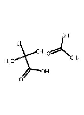 CC(=O)O.CC(C)(Cl)C(=O)O